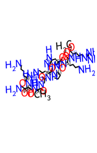 COC(=O)/C(=C/CCNC(=N)N)NC(=O)[C@H](CCCCN)NC(=O)[C@H](Cc1cnc[nH]1)NC(=O)[C@@H]1CCCN1C(=O)[C@@H](CCCN)NC(=O)CNC(=O)[C@H](C)NC(=O)[C@@H](NC(=O)[C@@H](N)CCCCN)[C@@H](O)CN